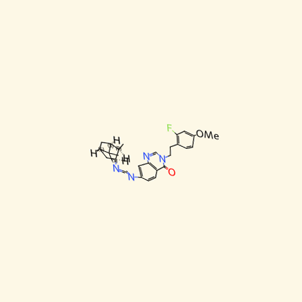 COc1ccc(CCn2cnc3cc(N=C=N[C@H]4C[C@@H]5C[C@@H]([C@H]4C)C5(C)C)ccc3c2=O)c(F)c1